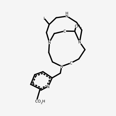 CC1CCN2CCN(Cc3cccc(C(=O)O)n3)CCCN1CCNCC(I)C2